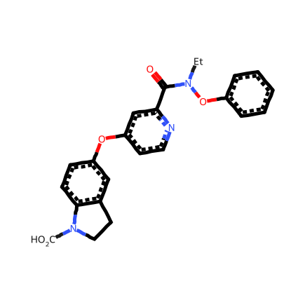 CCN(Oc1ccccc1)C(=O)c1cc(Oc2ccc3c(c2)CCN3C(=O)O)ccn1